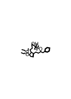 CC[Si](CC)(CC)OC1CC=C(CCC(Cc2ccccc2)O[Si](C)(C)C(C)(C)C)C1CCCO